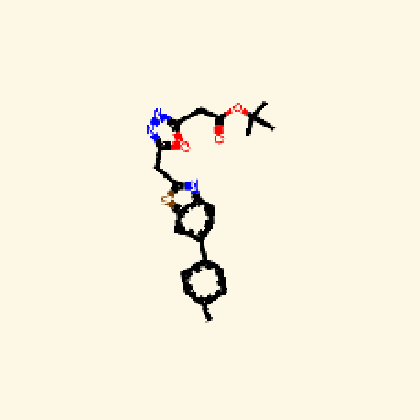 Cc1ccc(-c2ccc3nc(Cc4nnc(CC(=O)OC(C)(C)C)o4)sc3c2)cc1